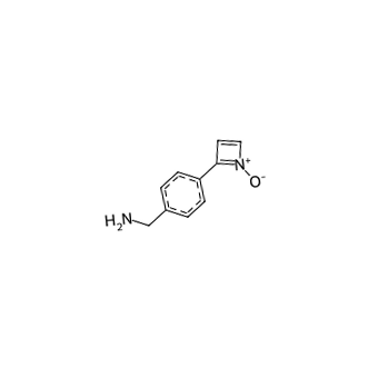 NCc1ccc(C2=[N+]([O-])C=C2)cc1